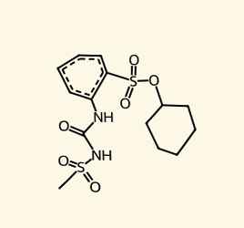 CS(=O)(=O)NC(=O)Nc1ccccc1S(=O)(=O)OC1CCCCC1